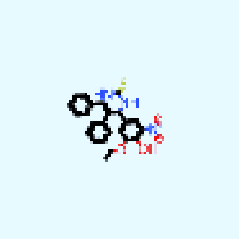 CCOc1cc(C2NC(=S)NC(c3ccccc3)=C2c2ccccc2)cc([N+](=O)[O-])c1O